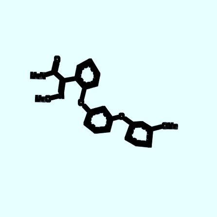 CNC(=O)C(=NOC)c1ccccc1Oc1cccc(Oc2cccc(OC)c2)c1